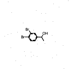 CC(O)c1ccc(Br)c(Br)c1